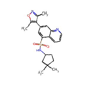 Cc1noc(C)c1-c1cc(S(=O)(=O)NC2CCC(C)(C)C2)c2cccnc2c1